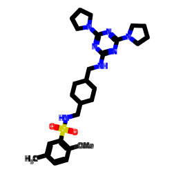 COc1ccc(C)cc1S(=O)(=O)NCC1CCC(CNc2nc(N3CCCC3)nc(N3CCCC3)n2)CC1